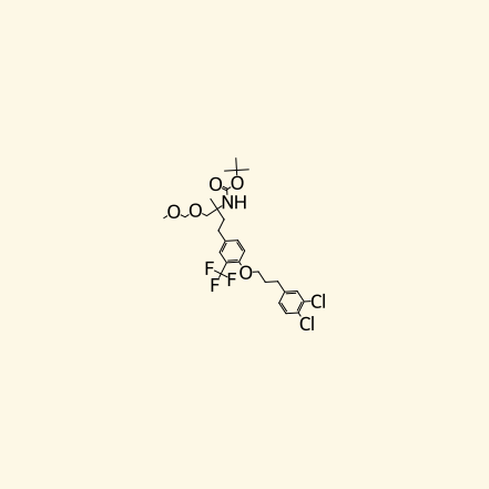 COCOCC(C)(CCc1ccc(OCCCc2ccc(Cl)c(Cl)c2)c(C(F)(F)F)c1)NC(=O)OC(C)(C)C